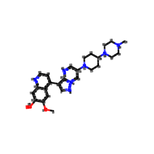 COc1cc2c(-c3cnn4cc(N5CCC(N6CCN(C)CC6)CC5)cnc34)ccnc2cc1O